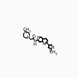 CN1CCCN(CC(=O)Nc2cc3nc(-c4cnn(C)c4)ccc3cn2)CC1